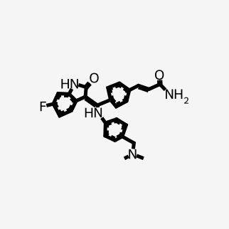 CN(C)Cc1ccc(NC(=C2C(=O)Nc3cc(F)ccc32)c2ccc(C=CC(N)=O)cc2)cc1